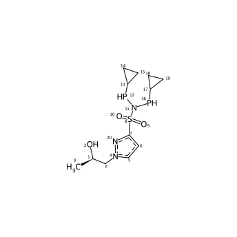 C[C@@H](O)Cn1ccc(S(=O)(=O)N(PC2CC2)PC2CC2)n1